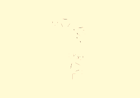 COc1ccc(Cc2csc(N3CCC(S(=O)(=O)c4ccc(F)c(Cl)c4)CC3)n2)cc1